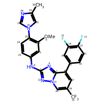 COc1cc(Nc2nc3c(-c4ccc(F)c(F)c4)cc(C(F)(F)F)cn3n2)ccc1-n1cnc(C)c1